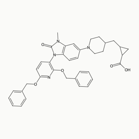 Cn1c(=O)n(-c2ccc(OCc3ccccc3)nc2OCc2ccccc2)c2ccc(N3CCC(CC4CC4C(=O)O)CC3)cc21